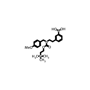 COc1ccc(CN(CCc2cccc(B(O)O)c2)C(=O)OCC[Si](C)(C)C)cc1